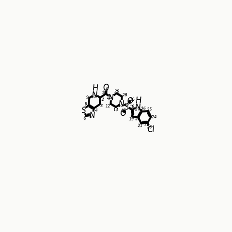 O=C(C1Cc2ncsc2CN1)N1CCN(S(=O)(=O)c2cc3cc(Cl)ccc3[nH]2)CC1